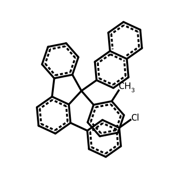 Cc1ccccc1C1(c2ccc3ccccc3c2)c2ccccc2-c2cccc(-c3cccc(Cl)c3)c21